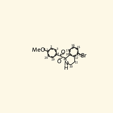 COc1ccc(S(=O)(=O)C2NCCc3c(Br)cccc32)cc1